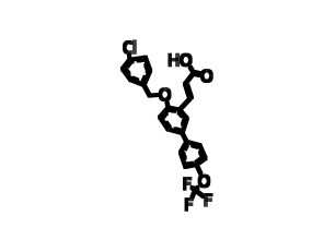 O=C(O)/C=C/c1cc(-c2ccc(OC(F)(F)F)cc2)ccc1OCc1ccc(Cl)cc1